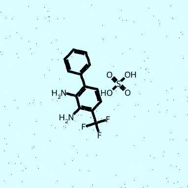 Nc1c(-c2ccccc2)ccc(C(F)(F)F)c1N.O=S(=O)(O)O